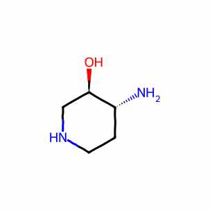 N[C@@H]1CCNC[C@H]1O